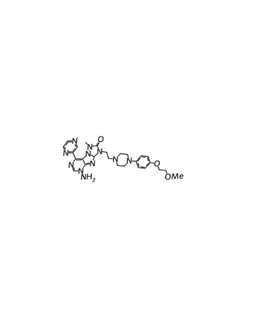 COCCOc1ccc(N2CCN(CCN3C(=O)N(C)N4C5=C(c6cnccn6)N=CN(N)C5=NC34)CC2)cc1